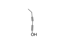 CCC#CC#CO